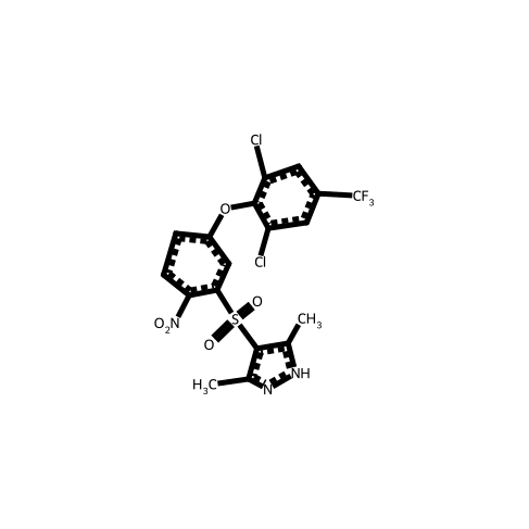 Cc1n[nH]c(C)c1S(=O)(=O)c1cc(Oc2c(Cl)cc(C(F)(F)F)cc2Cl)ccc1[N+](=O)[O-]